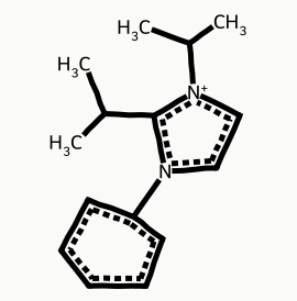 CC(C)c1n(-c2ccccc2)cc[n+]1C(C)C